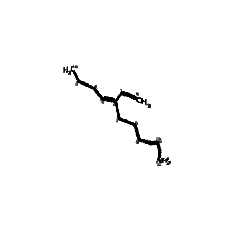 C=C/C(=C\CCC)CCCCN